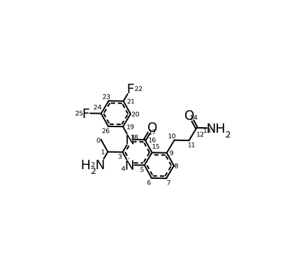 CC(N)c1nc2cccc(CCC(N)=O)c2c(=O)n1-c1cc(F)cc(F)c1